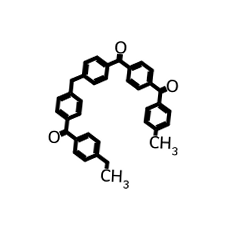 CCc1ccc(C(=O)c2ccc(Cc3ccc(C(=O)c4ccc(C(=O)c5ccc(C)cc5)cc4)cc3)cc2)cc1